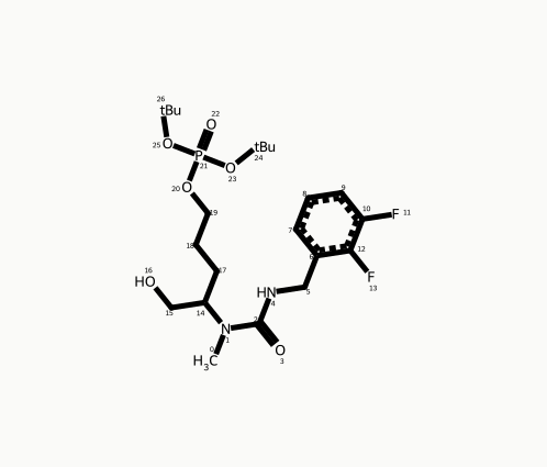 CN(C(=O)NCc1cccc(F)c1F)C(CO)CCCOP(=O)(OC(C)(C)C)OC(C)(C)C